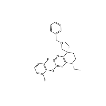 CC[C@H]1CC[C@](CC)(COCc2ccccc2)c2nnc(Oc3c(F)cccc3F)cc21